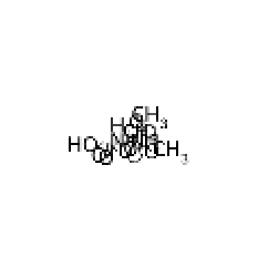 COc1cccc(C(OC)C2(N[C@@H](C)C(=O)N[C@H](C=O)CC(=O)O)CCCCO2)c1